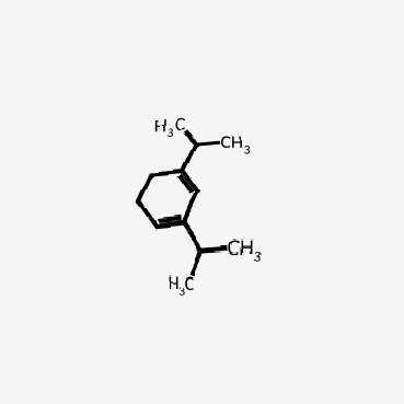 CC(C)C1=CCCC(C(C)C)=C1